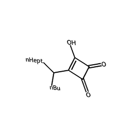 CCCCCCCC(CCCC)c1c(O)c(=O)c1=O